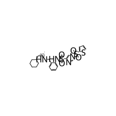 C[C@@H](CC1CCCCC1)NCc1ccccc1NS(=O)(=O)c1cn(S(=O)(=O)c2cccs2)cn1